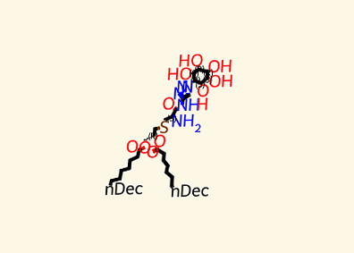 CCCCCCCCCCCCCCCCC(=O)OC[C@H](CSC[C@@H](N)C(=O)Nc1cn([C@@H]2[C@H](O)[C@H](O)[C@@H](O)[C@H](O)[C@H]2O)nn1)OC(=O)CCCCCCCCCCCCCCCC